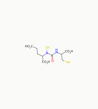 O=C(O)CCC(C(=O)O)N(S)C(=O)NC(CS)C(=O)O